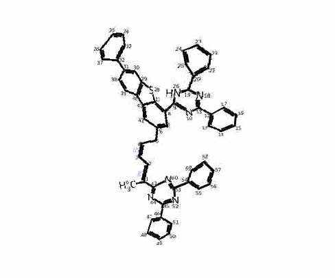 C/C(=C\C=C/Cc1cc(C2=NC(c3ccccc3)=NC(c3ccccc3)N2)c2sc3cc(-c4ccccc4)ccc3c2c1)c1nc(-c2ccccc2)nc(-c2ccccc2)n1